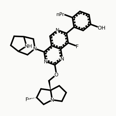 CCCc1ccc(O)cc1-c1ncc2c(N3CC4CCC(C3)N4)nc(OC[C@@]34CCCN3C[C@H](F)C4)nc2c1F